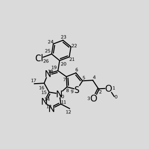 COC(=O)Cc1cc2c(s1)-n1c(C)nnc1C(C)N=C2c1ccccc1Cl